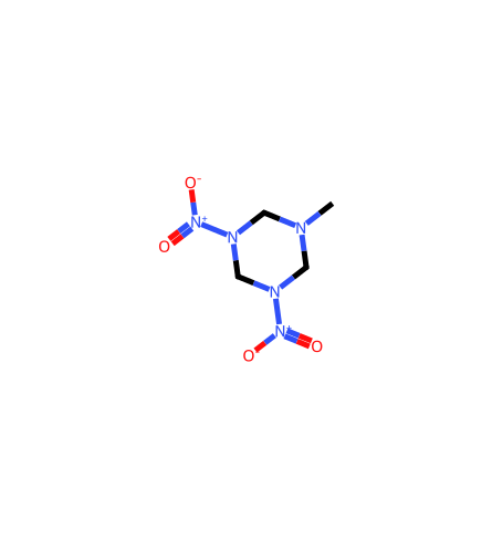 CN1CN([N+](=O)[O-])CN([N+](=O)[O-])C1